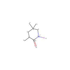 CC1CC(C)(C)CN(I)C1=O